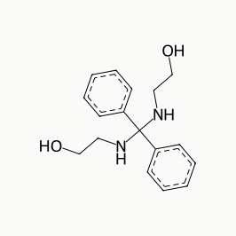 OCCNC(NCCO)(c1ccccc1)c1ccccc1